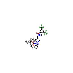 CC(C)(C)OC(=O)NC1(CN2CCC(CNC(=O)c3cc(C(F)(F)F)cc(C(F)(F)F)c3)CC2)CCCC1